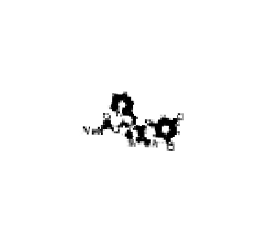 CNC(=O)OC[N+]1(Cc2ccccn2)C=NC(C(C)C)=C1Sc1cc(Cl)cc(Cl)c1